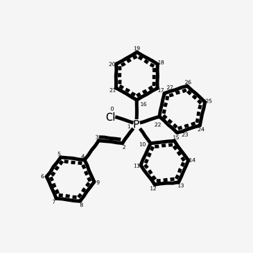 ClP(C=Cc1ccccc1)(c1ccccc1)(c1ccccc1)c1ccccc1